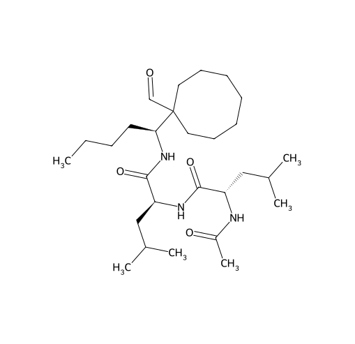 CCCC[C@H](NC(=O)[C@H](CC(C)C)NC(=O)[C@H](CC(C)C)NC(C)=O)C1(C=O)CCCCCCC1